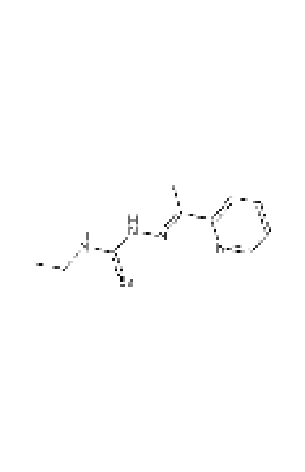 CCNC(=[Se])NN=C(C)c1ccccn1